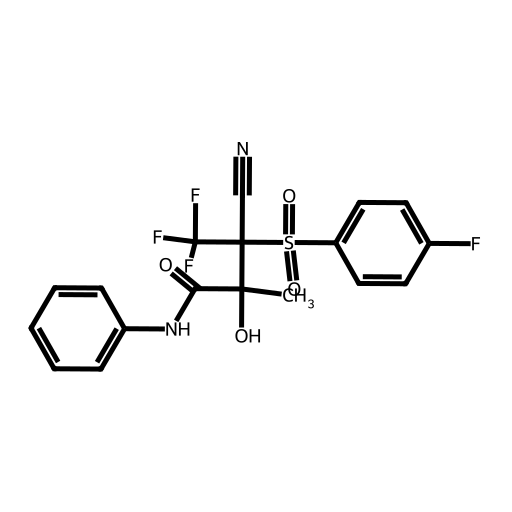 CC(O)(C(=O)Nc1ccccc1)C(C#N)(C(F)(F)F)S(=O)(=O)c1ccc(F)cc1